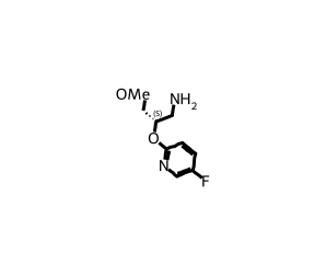 COC[C@H](CN)Oc1ccc(F)cn1